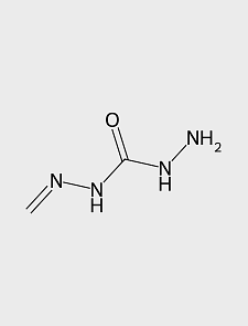 C=NNC(=O)NN